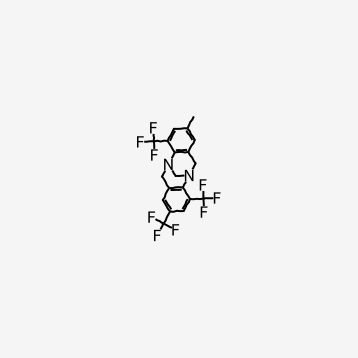 Cc1cc2c(c(C(F)(F)F)c1)N1Cc3cc(C(F)(F)F)cc(C(F)(F)F)c3N(C2)C1